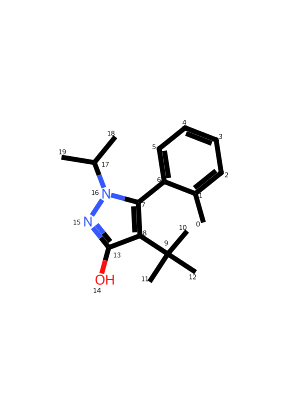 Cc1ccccc1-c1c(C(C)(C)C)c(O)nn1C(C)C